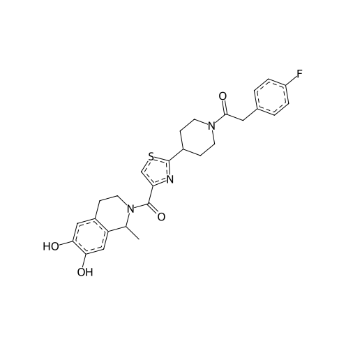 CC1c2cc(O)c(O)cc2CCN1C(=O)c1csc(C2CCN(C(=O)Cc3ccc(F)cc3)CC2)n1